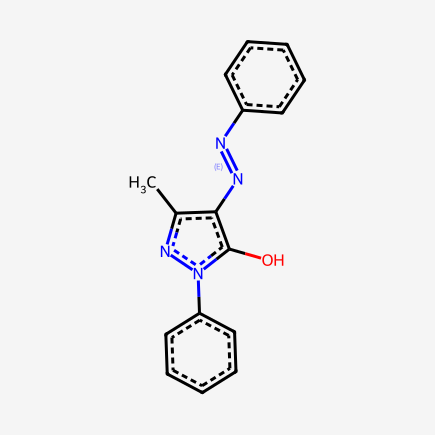 Cc1nn(-c2ccccc2)c(O)c1/N=N/c1ccccc1